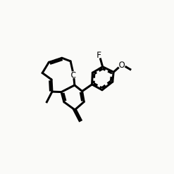 C=C1C=C2/C(C)=C/C/C=C\CCC2C(c2ccc(OC)c(F)c2)=C1